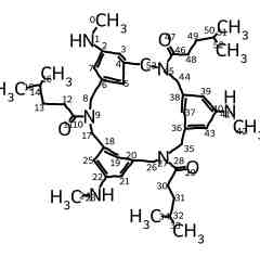 CNc1cc2cc(c1)CN(C(=O)CCC(C)C)Cc1cc(cc(NC)c1)CN(C(=O)CCC(C)C)Cc1cc(cc(NC)c1)CN(C(=O)CCC(C)C)C2